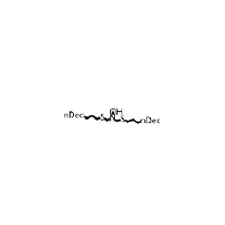 CCCCCCCCCCCCCSCN(O)CSCCCCCCCCCCCCC